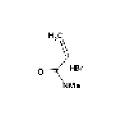 Br.C=CC(=O)NC